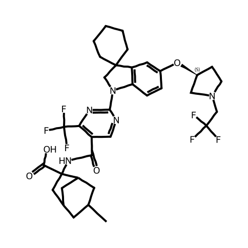 CC1CC2CC(C1)C(NC(=O)c1cnc(N3CC4(CCCCC4)c4cc(O[C@H]5CCN(CC(F)(F)F)C5)ccc43)nc1C(F)(F)F)(C(=O)O)C2